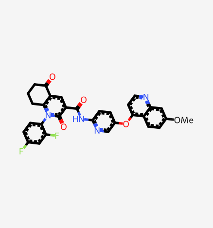 COc1ccc2c(Oc3ccc(NC(=O)c4cc5c(n(-c6ccc(F)cc6F)c4=O)CCCC5=O)nc3)ccnc2c1